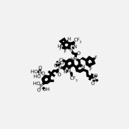 Cc1cc(P(=O)(O)O)cc(OP(=O)(O)O)c1C(C)(C)CC(=O)N(c1nn(CC(F)(F)F)c2c(-c3ccc(CCC(C)(C)S(C)(=O)=O)nc3[C@H](Cc3cc(F)cc(F)c3)NC(=O)Cn3nc(C(F)(F)F)c4c3C(F)(F)[C@@H]3CC[C@H]43)ccc(Cl)c12)S(C)(=O)=O